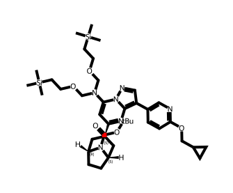 CC(C)(C)OC(=O)N1[C@@H]2CC[C@H]1C[C@H](c1cc(N(COCC[Si](C)(C)C)COCC[Si](C)(C)C)n3ncc(-c4ccc(OCC5CC5)nc4)c3n1)C2